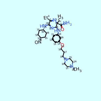 CCC1=NC(C)(C(N)=O)C(Nc2cccc(OCCCN3CCN(C)CC3)c2)N=C1N[C@H]1CC[C@H](N=O)CC1